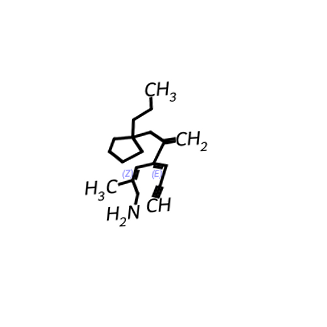 C#C/C=C(\C=C(\C)CN)C(=C)CC1(CCC)CCCC1